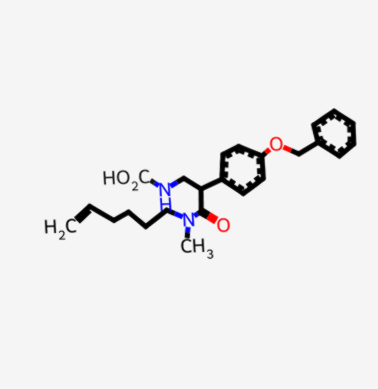 C=CCCCCN(C)C(=O)C(CNC(=O)O)c1ccc(OCc2ccccc2)cc1